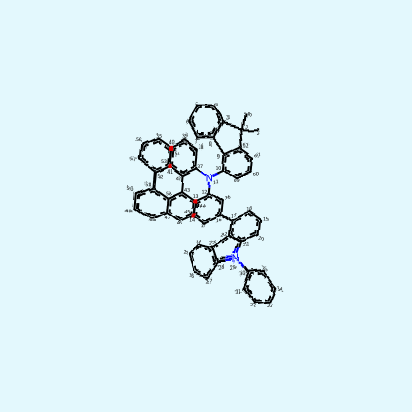 CC1(C)c2ccccc2-c2c(N(c3cccc(-c4cccc5c4c4ccccc4n5-c4ccccc4)c3)c3ccccc3-c3cccc4cccc(-c5ccccc5)c34)cccc21